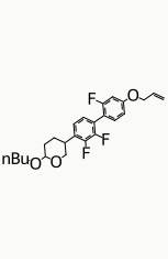 C=CCOc1ccc(-c2ccc(C3CCC(OCCCC)OC3)c(F)c2F)c(F)c1